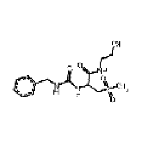 CS(=O)(=O)CC(NC(=O)NCc1ccccc1)C(=O)NCCC#N